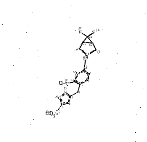 CCOC(=O)c1cc(Cc2ccc(N3CC4C(C3)C4(F)F)nc2C=O)no1